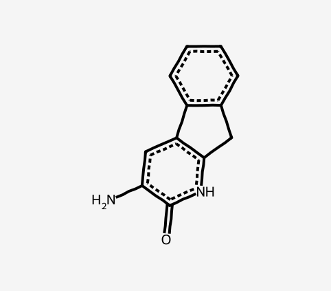 Nc1cc2c([nH]c1=O)Cc1ccccc1-2